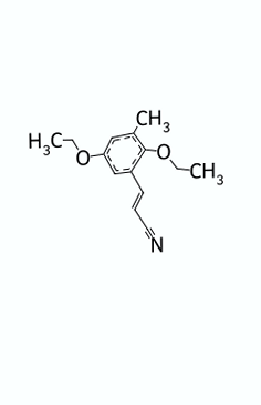 CCOc1cc(C)c(OCC)c(C=CC#N)c1